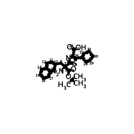 CC(C)(C)OC(=O)C(N)(Cc1ccc2ccccc2c1)c1nc(C(=O)O)c(-c2ccccc2)s1